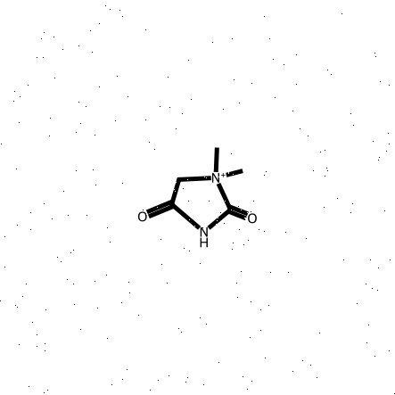 C[N+]1(C)CC(=O)NC1=O